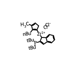 CCCCC1=[C]([Zr+2][CH]2C(P(C(C)(C)C)C(C)(C)C)=Cc3ccccc32)CC=C1C.[Cl-].[Cl-]